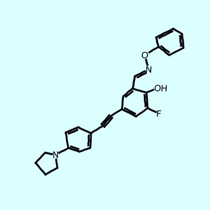 Oc1c(F)cc(C#Cc2ccc(N3CCCC3)cc2)cc1C=NOc1ccccc1